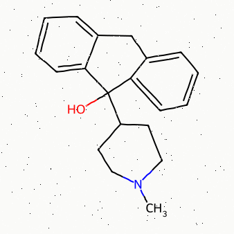 CN1CCC(C2(O)c3ccccc3Cc3ccccc32)CC1